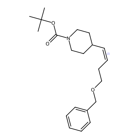 CC(C)(C)OC(=O)N1CCC(/C=C\CCOCc2ccccc2)CC1